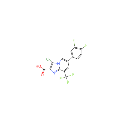 O=C(O)c1nc2c(C(F)(F)F)cc(-c3ccc(F)c(F)c3)cn2c1Cl